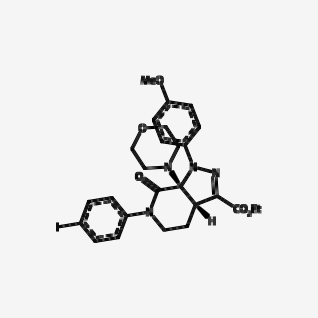 CCOC(=O)C1=NN(c2ccc(OC)cc2)[C@@]2(N3CCOCC3)C(=O)N(c3ccc(I)cc3)CC[C@@H]12